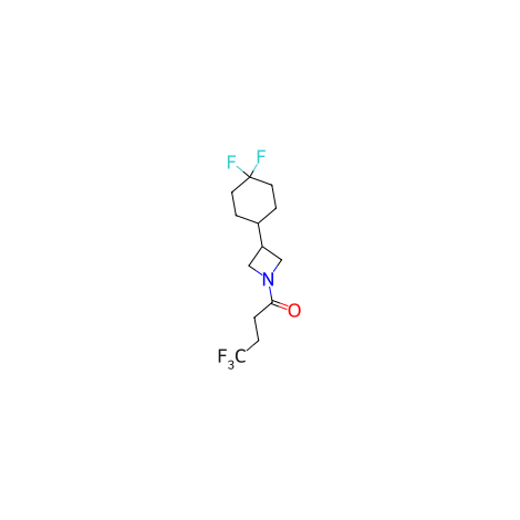 O=C(CCC(F)(F)F)N1CC(C2CCC(F)(F)CC2)C1